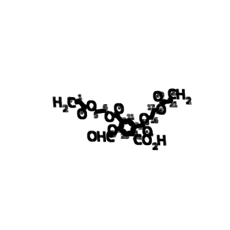 C=CC(=O)OCCOC(=O)c1cc(C(=O)OCCOC(=O)C=C)c(C(=O)O)cc1OC=O